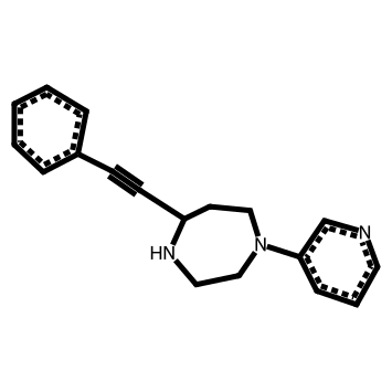 C(#CC1CCN(c2cccnc2)CCN1)c1ccccc1